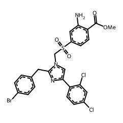 COC(=O)c1ccc(S(=O)(=O)Cn2cc(-c3ccc(Cl)cc3Cl)nc2Cc2ccc(Br)cc2)cc1N